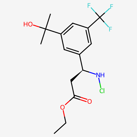 CCOC(=O)C[C@H](NCl)c1cc(C(C)(C)O)cc(C(F)(F)F)c1